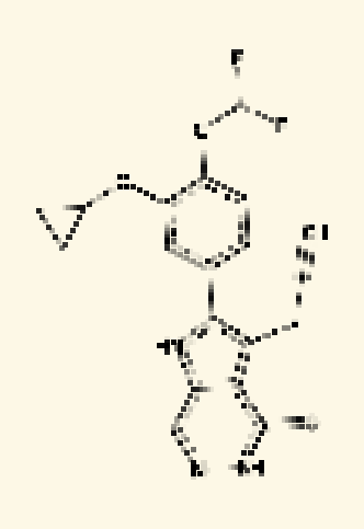 C#CCc1c(-c2ccc(OC(F)F)c(OC3CC3)c2)[nH]c2cn[nH]c(=O)c12